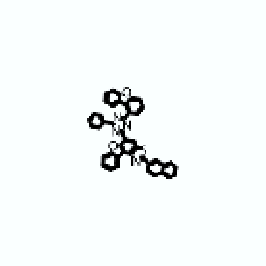 c1ccc(-c2nc(-c3cc4sc(-c5ccc6ccccc6c5)nc4c4c3oc3ccccc34)nc(-c3cccc4oc5ccccc5c34)n2)cc1